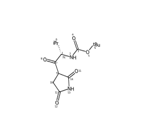 CC(C)[C@H](NC(=O)OC(C)(C)C)C(=O)C1CC(=O)NC1=O